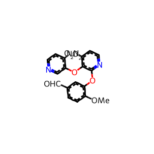 COc1ccc(C=O)cc1Oc1nccc([N+](=O)[O-])c1Oc1cnccc1[N+](=O)[O-]